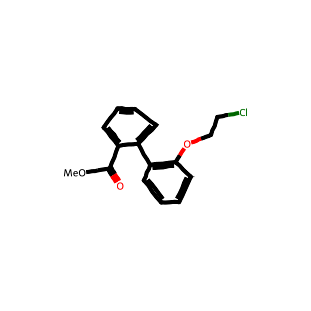 COC(=O)c1ccccc1-c1ccc[c]c1OCCCl